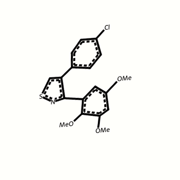 COc1cc(OC)c(OC)c(-c2nscc2-c2ccc(Cl)cc2)c1